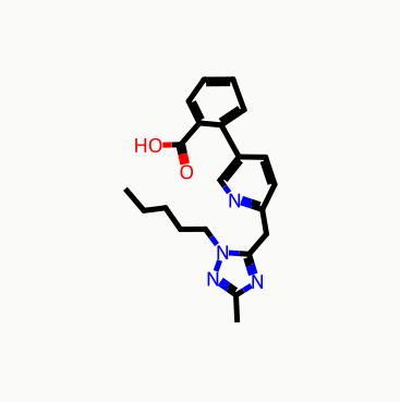 CCCCCn1nc(C)nc1Cc1ccc(-c2ccccc2C(=O)O)cn1